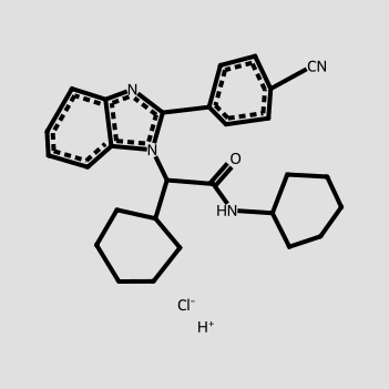 N#Cc1ccc(-c2nc3ccccc3n2C(C(=O)NC2CCCCC2)C2CCCCC2)cc1.[Cl-].[H+]